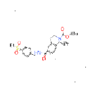 CCS(=O)(=O)c1ccc(CNC(=O)c2ccc3c(c2)CCN(C(=O)OC(C)(C)C)C3C(C)C)cc1